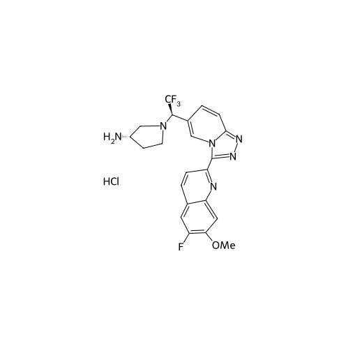 COc1cc2nc(-c3nnc4ccc([C@@H](N5CC[C@H](N)C5)C(F)(F)F)cn34)ccc2cc1F.Cl